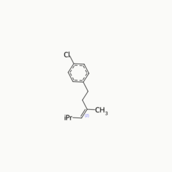 C/C(=C/C(C)C)CCc1ccc(Cl)cc1